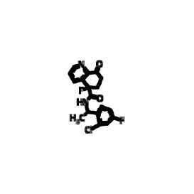 C[C@@H](NC(=O)C1(F)CCC(=O)c2ncccc21)c1ccc(F)cc1Cl